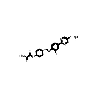 CCCCCCCc1cnc(-c2ccc(OC[C@H]3CC[C@H](OC(=O)[C@@H](F)CCCC)CC3)c(Cl)c2)nc1